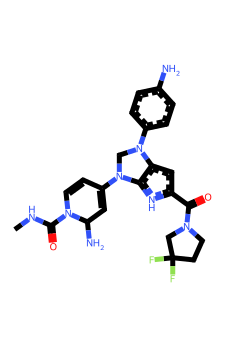 CNC(=O)N1C=CC(N2CN(c3ccc(N)cc3)c3cc(C(=O)N4CCC(F)(F)C4)[nH]c32)=CC1N